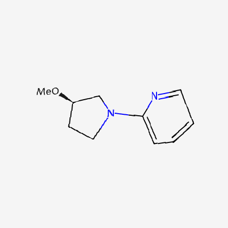 CO[C@@H]1CCN(c2ccccn2)C1